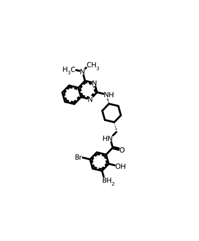 Bc1cc(Br)cc(C(=O)NC[C@H]2CC[C@@H](Nc3nc(N(C)C)c4ccccc4n3)CC2)c1O